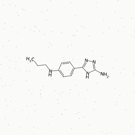 CCCNc1ccc(-c2nnc(N)[nH]2)cc1